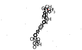 CN(C)C(=O)c1cc2cnc(Nc3ccc(N4CCN(C5CN(c6ccc7c(c6)C(=O)N(C6CCC(=O)NC6=O)C7=O)C5)CC4)cn3)nc2n1C1CCCC1